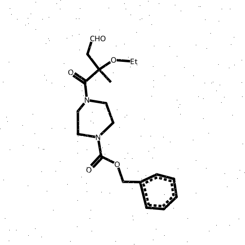 CCOC(C)(CC=O)C(=O)N1CCN(C(=O)OCc2ccccc2)CC1